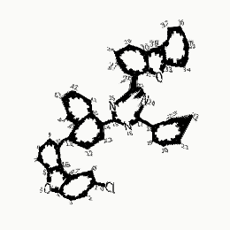 Clc1ccc2oc3cccc(-c4ccc(-c5nc(-c6ccccc6)nc(-c6cccc7c6oc6ccccc67)n5)c5ccccc45)c3c2c1